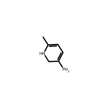 CC1=CC=C(P)CN1